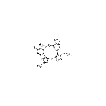 CCc1noc2c1-c1cnc(N)c(c1)OC(C)c1cc(F)ccc1-c1nn(C)cc1C2